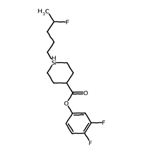 CC(F)CCC[SiH]1CCC(C(=O)Oc2ccc(F)c(F)c2)CC1